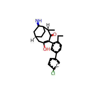 CCc1ccc(-c2ccc(Cl)cc2)cc1/C1=C(\O)C[C@@H]2CCC(C(=N)C2)[C@H](C)C1=O